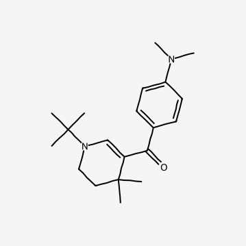 CN(C)c1ccc(C(=O)C2=CN(C(C)(C)C)CCC2(C)C)cc1